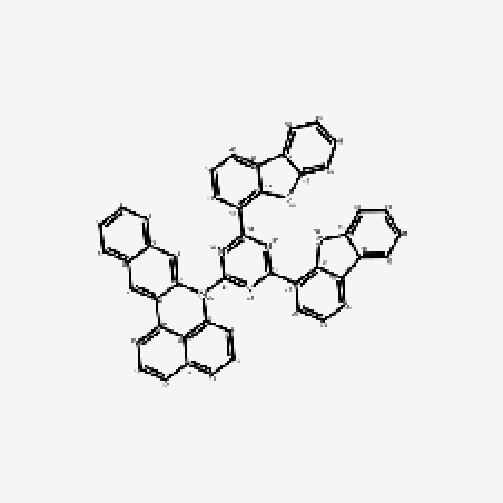 c1ccc2cc3c(cc2c1)-c1cccc2cccc(c12)N3c1nc(-c2cccc3c2sc2ccccc23)nc(-c2cccc3c2sc2ccccc23)n1